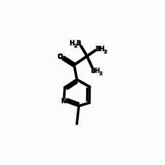 BC(B)(B)C(=O)c1ccc(C)nc1